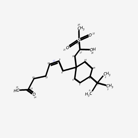 CC(C)(C)C1CCC(C/C=C\CCC(=O)O)(CC(O)S(C)(=O)=O)CC1